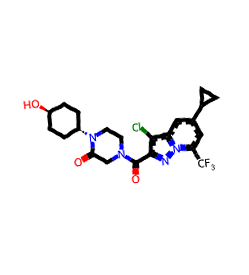 O=C(c1nn2c(C(F)(F)F)cc(C3CC3)cc2c1Cl)N1CCN([C@H]2CC[C@H](O)CC2)C(=O)C1